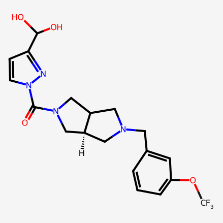 O=C(N1CC2CN(Cc3cccc(OC(F)(F)F)c3)C[C@H]2C1)n1ccc(C(O)O)n1